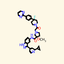 CO[C@@]1(C(=O)Nc2ccc3[nH]nc(-c4ccnc(C5CC5)c4)c3c2)CCN(CC(=O)N2CCC(F)(c3ccc(-c4ncccn4)cc3)CC2)C1